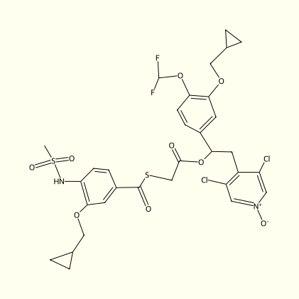 CS(=O)(=O)Nc1ccc(C(=O)SCC(=O)OC(Cc2c(Cl)c[n+]([O-])cc2Cl)c2ccc(OC(F)F)c(OCC3CC3)c2)cc1OCC1CC1